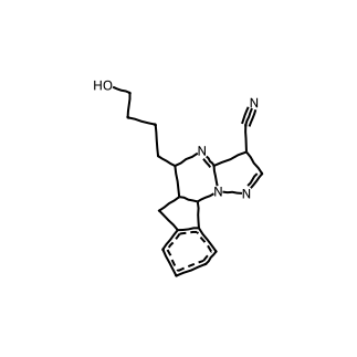 N#CC1C=NN2C1=NC(CCCCO)C1Cc3ccccc3C12